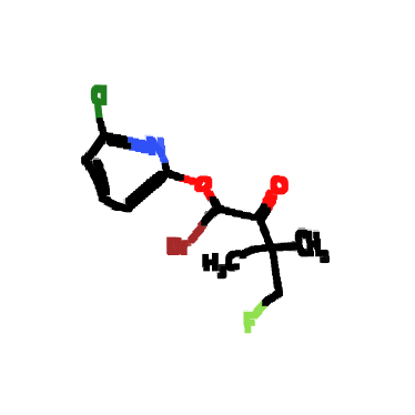 CC(C)(CF)C(=O)C(Br)Oc1cccc(Cl)n1